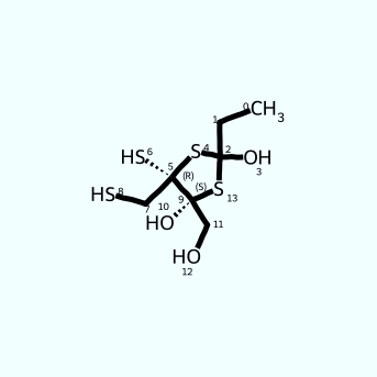 CCC1(O)S[C@](S)(CS)[C@](O)(CO)S1